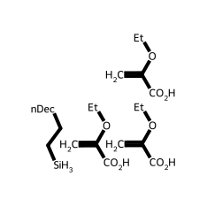 C=C(OCC)C(=O)O.C=C(OCC)C(=O)O.C=C(OCC)C(=O)O.CCCCCCCCCCCC[SiH3]